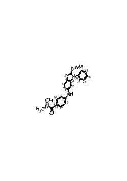 CNc1nc2cnc(Nc3ccc(C(=O)N(C)C)cc3)cc2n1-c1ccccc1